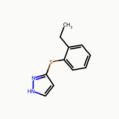 CCc1ccccc1Sc1cc[nH]n1